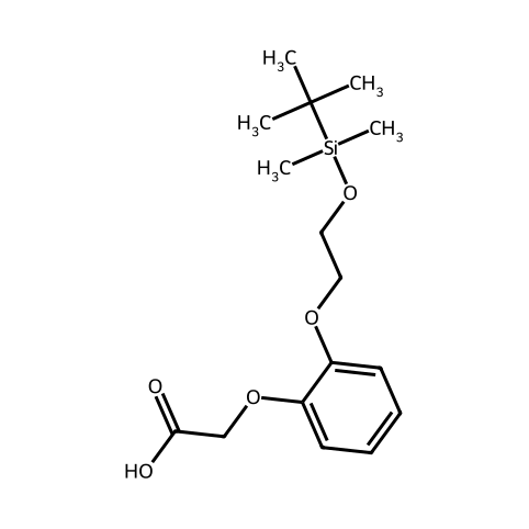 CC(C)(C)[Si](C)(C)OCCOc1ccccc1OCC(=O)O